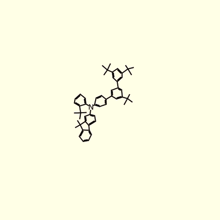 CC(C)(C)c1cc(-c2ccc(N(c3ccc4c(c3)C(C)(C)c3ccccc3-4)c3ccccc3C(C)(C)C)cc2)cc(-c2cc(C(C)(C)C)cc(C(C)(C)C)c2)c1